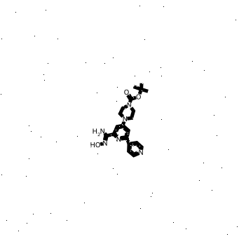 CC(C)(C)OC(=O)N1CCN(c2cc(/C(N)=N/O)nc(-c3ccncc3)c2)CC1